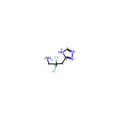 NCC(F)(F)Cc1nnc[nH]1